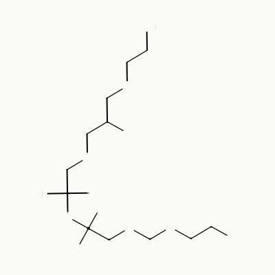 OCCOCOCC(F)(F)OC(F)(F)COCC(O)COCCO